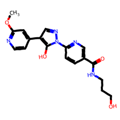 COc1cc(-c2cnn(-c3ccc(C(=O)NCCCO)cn3)c2O)ccn1